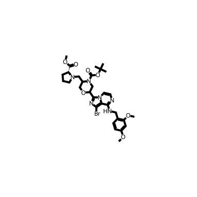 COC(=O)[C@H]1CCCN1CC1COC(c2nc(Br)c3c(NCc4ccc(OC)cc4OC)nccn23)CN1C(=O)OC(C)(C)C